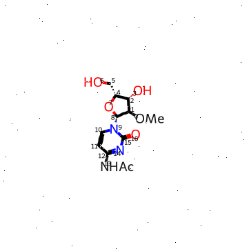 COC1[C@@H](O)[C@@H](CO)O[C@H]1n1ccc(NC(C)=O)nc1=O